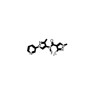 Cc1nn(-c2cccnc2)cc1N(C)C(=O)c1cn(C)nc1C(F)(F)F